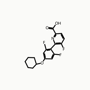 O=C(O)c1ccc(F)c(-c2c(F)cc(OC3CCCCC3)cc2F)n1